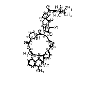 CCn1c(-c2cccnc2[C@H](C)OC)c2c3cc(ccc31)-c1csc(n1)C[C@H](NC(=O)[C@H](C(C)C)N1CC[C@]3(CCN(C(=O)C#CC(C)(C)N(C)C)C3)C1=O)C(=O)N1CCC[C@H](N1)C(=O)OCC(C)(C)C2